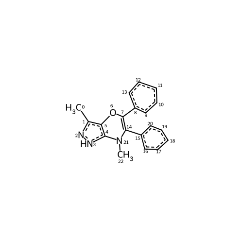 Cc1n[nH]c2c1OC(c1ccccc1)=C(c1ccccc1)N2C